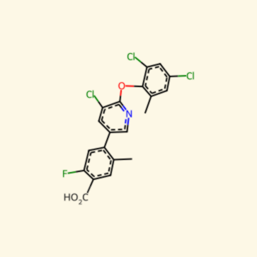 Cc1cc(C(=O)O)c(F)cc1-c1cnc(Oc2c(C)cc(Cl)cc2Cl)c(Cl)c1